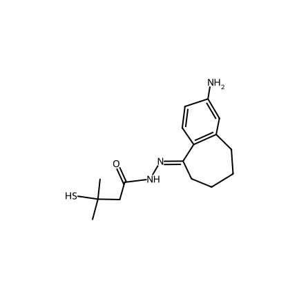 CC(C)(S)CC(=O)N/N=C1\CCCCc2cc(N)ccc21